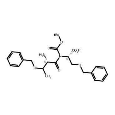 CC(OCc1ccccc1)[C@H](N)C(=O)N(C(=O)OC(C)(C)C)[C@@H](COCc1ccccc1)C(=O)O